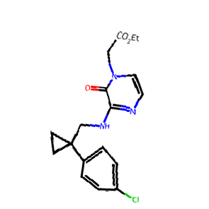 CCOC(=O)Cn1ccnc(NCC2(c3ccc(Cl)cc3)CC2)c1=O